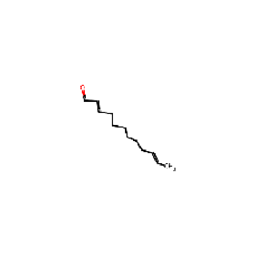 CC=CCCCCCCC=CC=O